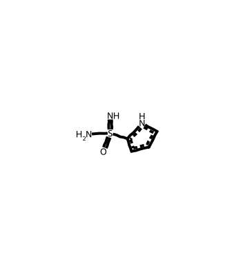 N=S(N)(=O)c1ccc[nH]1